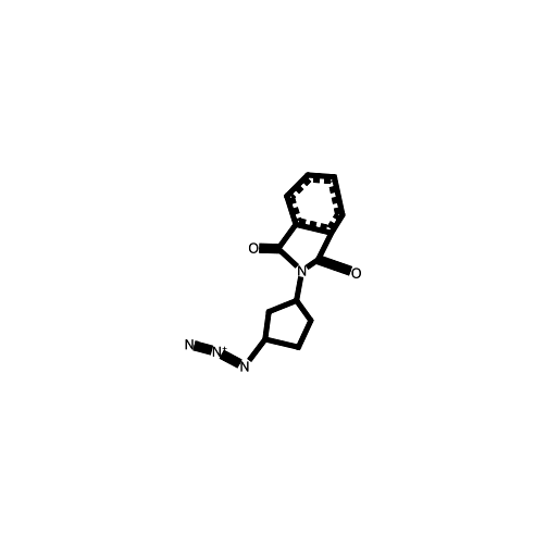 [N-]=[N+]=NC1CCC(N2C(=O)c3ccccc3C2=O)C1